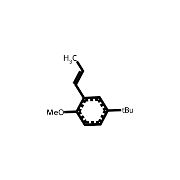 CC=Cc1cc(C(C)(C)C)ccc1OC